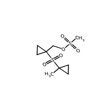 CC1(S(=O)(=O)C2(COS(C)(=O)=O)CC2)CC1